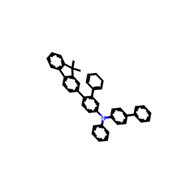 CC1(C)c2ccccc2-c2ccc(-c3ccc(N(c4ccccc4)c4ccc(-c5ccccc5)cc4)cc3C3=CCCC=C3)cc21